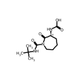 CC(C)(C)NC(=O)N1CCCC[C@H](NC(=O)O)C1=O